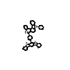 c1ccc(-n2c3ccccc3c3c4c(ccc32)c(-c2ccc(-c3c5sc6ccccc6c5cc5c3sc3ccccc35)cc2)nc2ccccc24)cc1